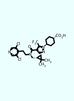 CC1(C)C[C@H]1CN(CCc1c(Cl)cncc1Cl)C(=O)c1cnn([C@H]2CC[C@H](C(=O)O)CC2)c1C(F)(F)F